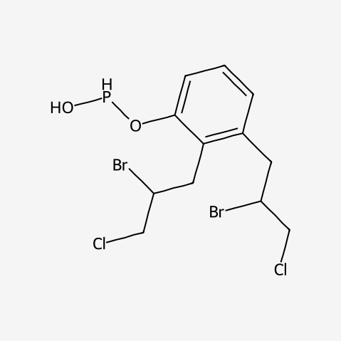 OPOc1cccc(CC(Br)CCl)c1CC(Br)CCl